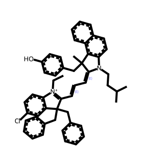 CC[N+]1=C(/C=C/C=C2/N(CCC(C)C)c3ccc4ccccc4c3C2(C)Cc2ccc(O)cc2)C(Cc2ccccc2)(Cc2ccccc2)c2cc(Cl)ccc21